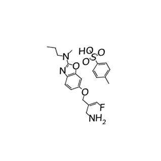 CCCN(C)c1nc2ccc(OCC(=CF)CN)cc2o1.Cc1ccc(S(=O)(=O)O)cc1